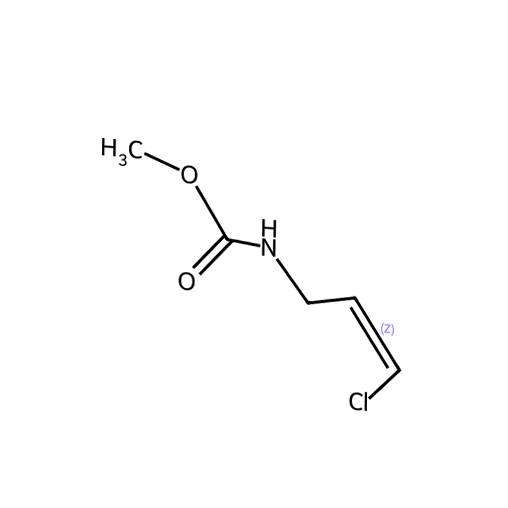 COC(=O)NC/C=C\Cl